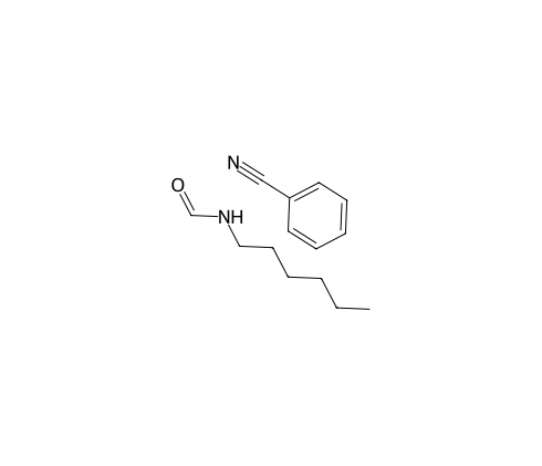 CCCCCCNC=O.N#Cc1ccccc1